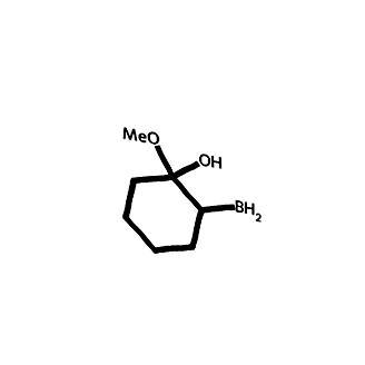 BC1CCCCC1(O)OC